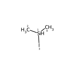 C[SiH](C)I